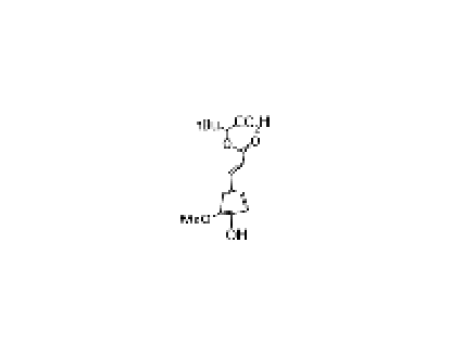 CCCCC(OC(=O)C=Cc1ccc(O)c(OC)c1)C(=O)O